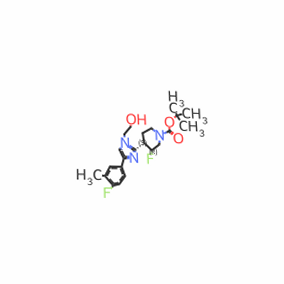 Cc1cc(-c2cn(CCO)c([C@@H]3CCN(C(=O)OC(C)(C)C)C[C@@H]3F)n2)ccc1F